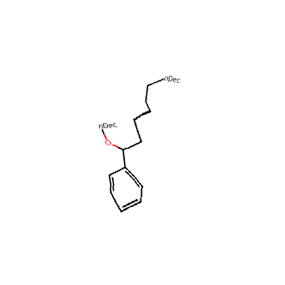 CCCCCCCCCCCCCCC(OCCCCCCCCCC)c1ccccc1